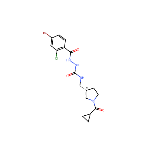 O=C(NC[C@@H]1CCN(C(=O)C2CC2)C1)NNC(=O)c1ccc(Br)cc1Cl